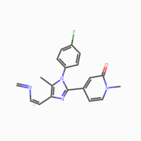 C=N/C=C\c1nc(-c2ccn(C)c(=O)c2)n(-c2ccc(F)cc2)c1C